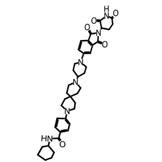 O=C1CCC(N2C(=O)c3ccc(N4CCC(N5CCC6(CCN(c7ccc(C(=O)NC8CCCCC8)cc7)CC6)CC5)CC4)cc3C2=O)C(=O)N1